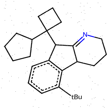 CC(C)(C)c1cccc2c1C1CCCN=C1C2C1(C2CCCC2)CCC1